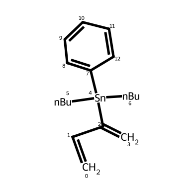 C=C[C](=C)[Sn]([CH2]CCC)([CH2]CCC)[c]1ccccc1